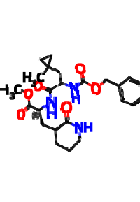 COC(=O)[C@H](CC1CCCNC1=O)NC(=O)C(CC1(C)CC1)NC(=O)OCc1ccccc1